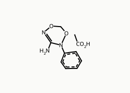 CC(=O)O.NC1=NOCON1c1ccccc1